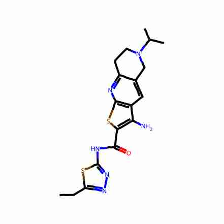 CCc1nnc(NC(=O)c2sc3nc4c(cc3c2N)CN(C(C)C)CC4)s1